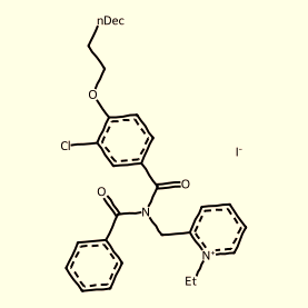 CCCCCCCCCCCCOc1ccc(C(=O)N(Cc2cccc[n+]2CC)C(=O)c2ccccc2)cc1Cl.[I-]